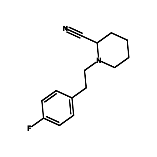 N#CC1CCCCN1CCc1ccc(F)cc1